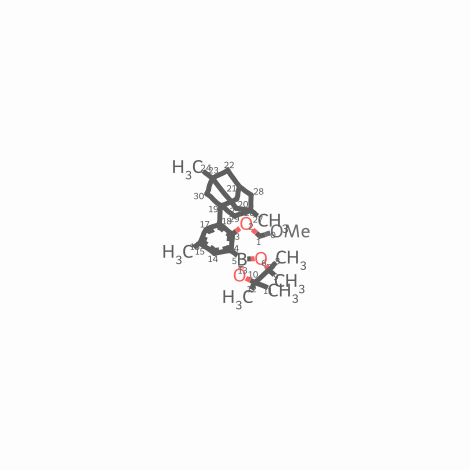 COCOc1c(B2OC(C)(C)C(C)(C)O2)cc(C)cc1C12CC3CC(C)(CC(C)(C3)C1)C2